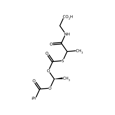 CC(C)C(=O)O[C@H](C)OC(=O)SC(C)C(=O)NCC(=O)O